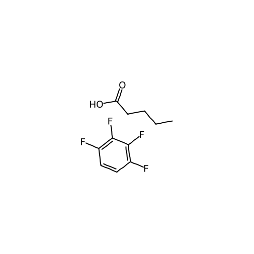 CCCCC(=O)O.Fc1ccc(F)c(F)c1F